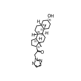 C[C@]12CC[C@@H](O)C[C@H]1CC[C@@H]1[C@@H]2CC[C@]2(C)[C@@H](C(=O)Cn3nccn3)CC[C@@H]12